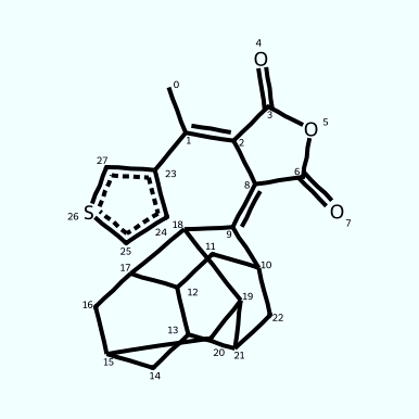 C/C(=C1\C(=O)OC(=O)\C1=C1/C2CC3C4CC5CC3C1C(C5)C4C2)c1ccsc1